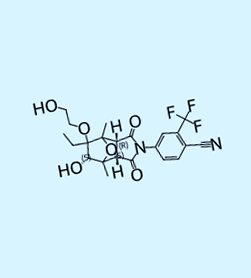 CCC1(OCCO)[C@@H](O)C2(C)OC1(C)[C@@H]1C(=O)N(c3ccc(C#N)c(C(F)(F)F)c3)C(=O)[C@@H]12